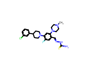 CN1CCN(c2cc(N3CCC(c4cccc(Cl)c4)CC3)c(F)cc2/C=N/NC(N)=S)CC1